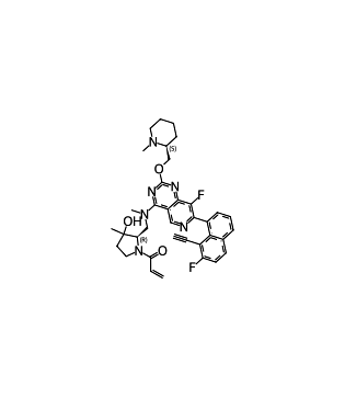 C#Cc1c(F)ccc2cccc(-c3ncc4c(N(C)C[C@H]5N(C(=O)C=C)CCC5(C)O)nc(OC[C@@H]5CCCCN5C)nc4c3F)c12